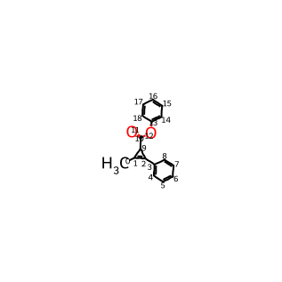 CC1=C(c2ccccc2)C1C(=O)Oc1ccccc1